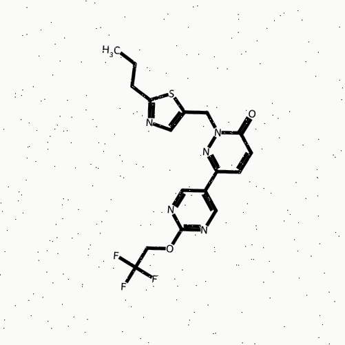 CCCc1ncc(Cn2nc(-c3cnc(OCC(F)(F)F)nc3)ccc2=O)s1